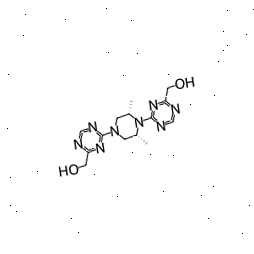 C[C@@H]1CN(c2ncnc(CO)n2)C[C@H](C)N1c1ncnc(CO)n1